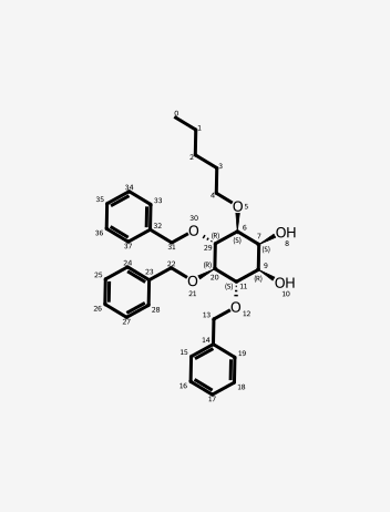 CCCCCO[C@H]1[C@@H](O)[C@@H](O)[C@H](OCc2ccccc2)[C@@H](OCc2ccccc2)[C@@H]1OCc1ccccc1